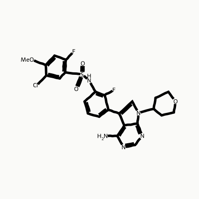 COc1cc(F)c(S(=O)(=O)Nc2cccc(-c3cn(C4CCOCC4)c4ncnc(N)c34)c2F)cc1Cl